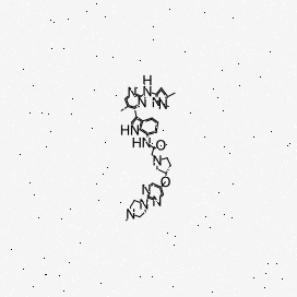 Cc1cnc(Nc2cc(C)n(C)n2)nc1-c1c[nH]c2c(NC(=O)CN3CCC(Oc4cnc(N5CCN(C)CC5)nc4)C3)cccc12